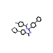 C=C(/N=C(\N=C(/C)c1ccc(C)cc1)c1ccc(-c2ccccc2)cc1)c1ccc(C2=CCCC=C2)cc1